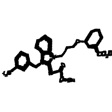 Bc1cccc(Cn2/c(=N/C(=O)OC(C)(C)C)n(CCCOC3=CCCC(C(=O)OCC)=C3)c3ccccc32)c1